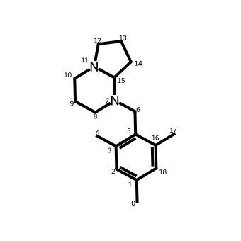 Cc1cc(C)c(CN2CCCN3CCCC32)c(C)c1